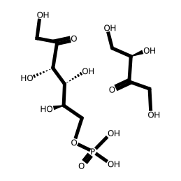 O=C(CO)[C@@H](O)[C@H](O)[C@H](O)COP(=O)(O)O.O=C(CO)[C@H](O)CO